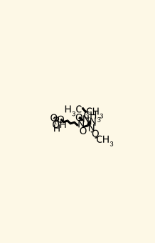 CCCC.CCOCn1cnc2c1c(=O)n(CCCCCO[PH](=O)O)c(=O)n2C